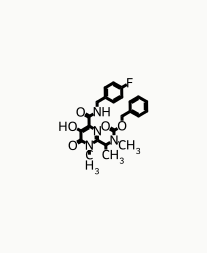 CC(c1nc(C(=O)NCc2ccc(F)cc2)c(O)c(=O)n1C)N(C)C(=O)OCc1ccccc1